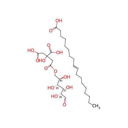 CCCCCCCCC=CCCCCCCCC(=O)O.O=C[C@H](O)[C@@H](O)[C@H](O)[C@H](O)COC(=O)CC(O)(CC(=O)O)C(=O)O